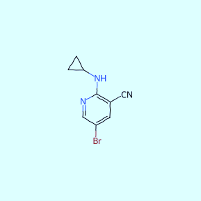 N#Cc1cc(Br)cnc1NC1CC1